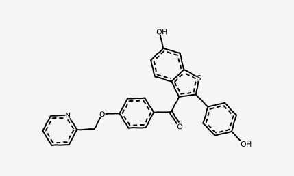 O=C(c1ccc(OCc2ccccn2)cc1)c1c(-c2ccc(O)cc2)sc2cc(O)ccc12